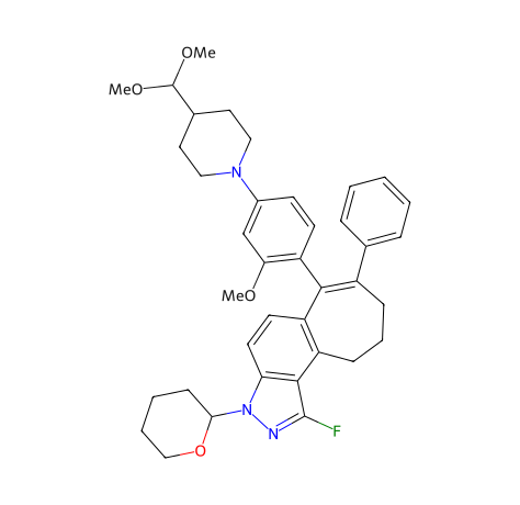 COc1cc(N2CCC(C(OC)OC)CC2)ccc1C1=C(c2ccccc2)CCCc2c1ccc1c2c(F)nn1C1CCCCO1